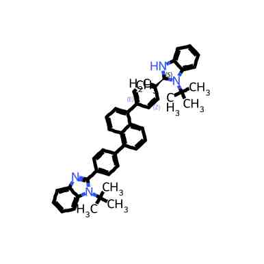 C=C(/C=C\C(=C/C)c1cccc2c(-c3ccc(-c4nc5ccccc5n4C(C)(C)C)cc3)cccc12)[C@H]1Nc2ccccc2N1C(C)(C)C